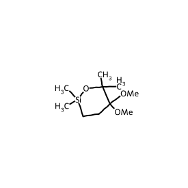 COC1(OC)CC[Si](C)(C)OC1(C)C